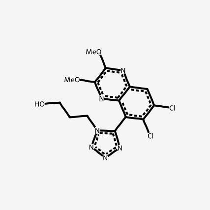 COc1nc2cc(Cl)c(Cl)c(-c3nnnn3CCCO)c2nc1OC